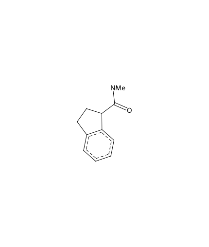 CNC(=O)C1CCc2ccccc21